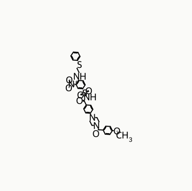 COc1ccc(C(=O)N2CCN(c3ccc(C(=O)NS(=O)(=O)c4ccc(NCCSc5ccccc5)c([N+](=O)[O-])c4)cc3)CC2)cc1